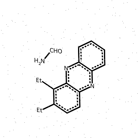 CCc1ccc2nc3ccccc3nc2c1CC.NC=O